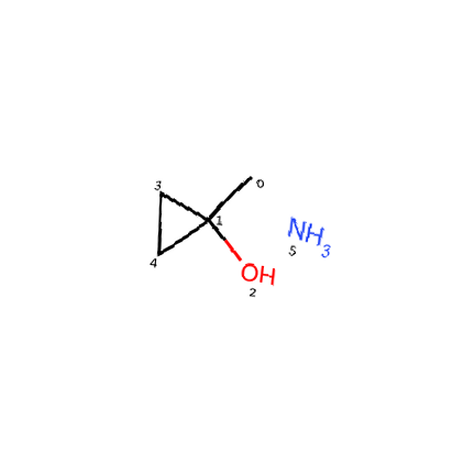 CC1(O)CC1.N